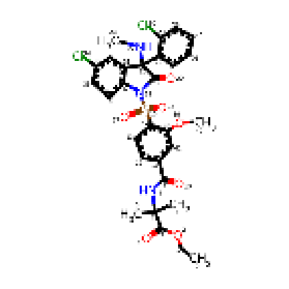 CCOC(=O)C(C)(C)NC(=O)c1ccc(S(=O)(=O)N2C(=O)C(NC)(c3ccccc3Cl)c3cc(Cl)ccc32)c(OC)c1